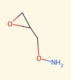 NOCC1CO1